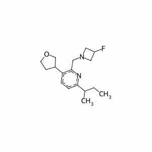 CCC(C)c1ccc(C2CCOC2)c(CN2CC(F)C2)n1